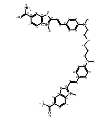 CN(CCSSCCN(C)c1ccc(/C=C/c2sc3cc(C(N)=O)ccc3[n+]2C)cc1)c1ccc(/C=C/c2sc3cc(C(N)=O)ccc3[n+]2C)cc1